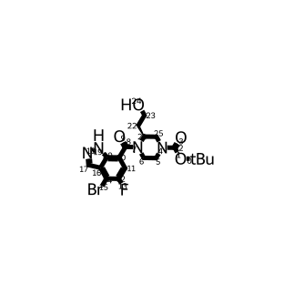 CC(C)(C)OC(=O)N1CCN(C(=O)c2cc(F)c(Br)c3cn[nH]c23)[C@@H](CCO)C1